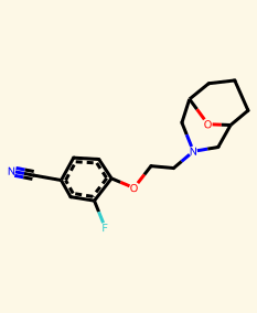 N#Cc1ccc(OCCN2CC3CCCC(C2)O3)c(F)c1